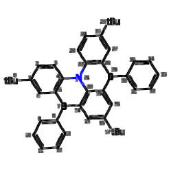 CC(C)(C)c1ccc2c(c1)B(c1ccccc1)c1cc(C(C)(C)C)cc3c1N2c1ccc(C(C)(C)C)cc1B3c1ccccc1